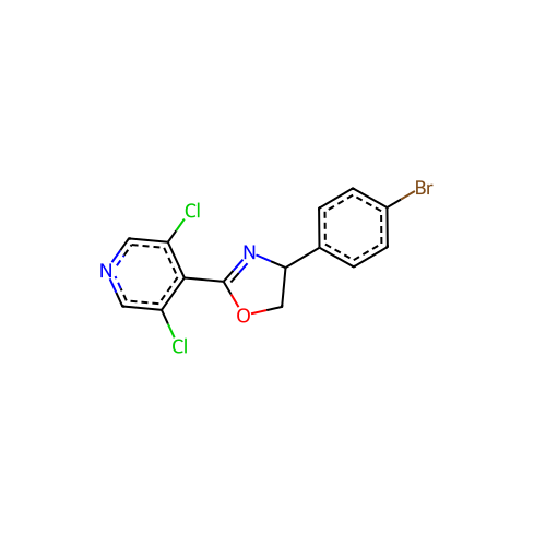 Clc1cncc(Cl)c1C1=NC(c2ccc(Br)cc2)CO1